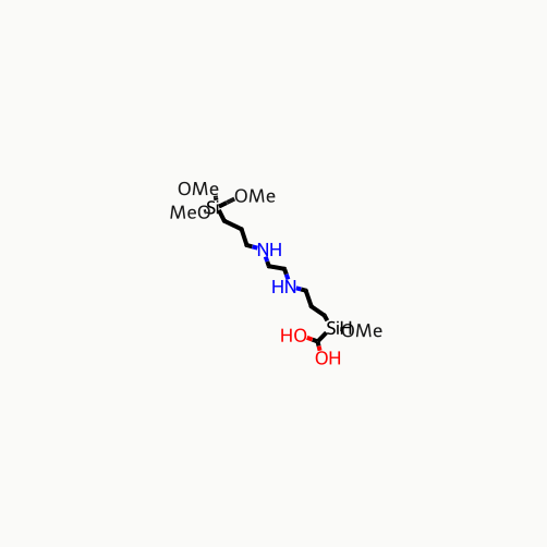 CO[SiH](CCCNCCNCCC[Si](OC)(OC)OC)C(O)O